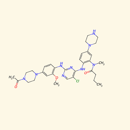 CCCC(=O)N(C)c1cc(N2CCNCC2)ccc1Nc1nc(Nc2ccc(N3CCN(C(C)=O)CC3)cc2OC)ncc1Cl